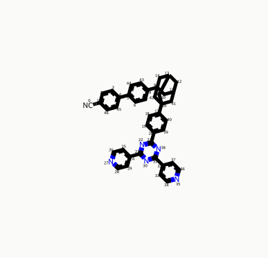 N#Cc1ccc(-c2ccc(C34CC5CC(C3)CC(c3ccc(-c6nc(-c7ccncc7)nc(-c7ccncc7)n6)cc3)(C5)C4)cc2)cc1